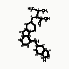 CC(C)N(CC1CCc2c(sc3ncnc(Nc4ccc5[nH]ncc5c4)c23)C1)C(=O)O